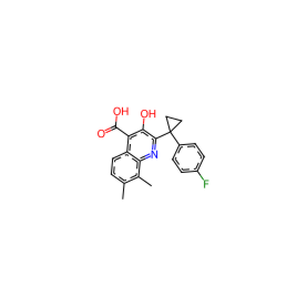 Cc1ccc2c(C(=O)O)c(O)c(C3(c4ccc(F)cc4)CC3)nc2c1C